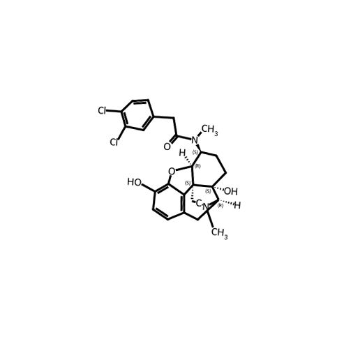 CN1CC[C@]23c4c5ccc(O)c4O[C@H]2[C@@H](N(C)C(=O)Cc2ccc(Cl)c(Cl)c2)CC[C@@]3(O)[C@H]1C5